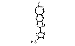 Cc1nnc(C2Oc3cc4c(cc3O2)CCNN=C4)s1